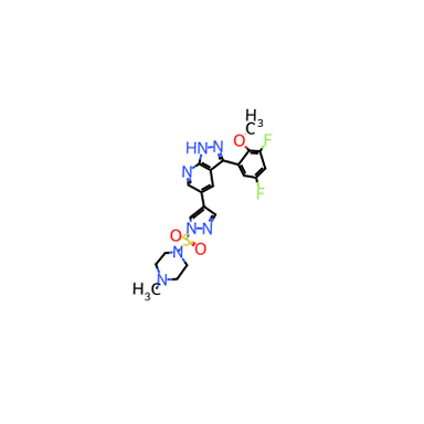 COc1c(F)cc(F)cc1-c1n[nH]c2ncc(-c3cnn(S(=O)(=O)N4CCN(C)CC4)c3)cc12